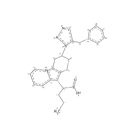 CCCC(C(=O)O)c1c2c(n3ccccc13)CC(n1nncc1Cc1ccccc1)CC2